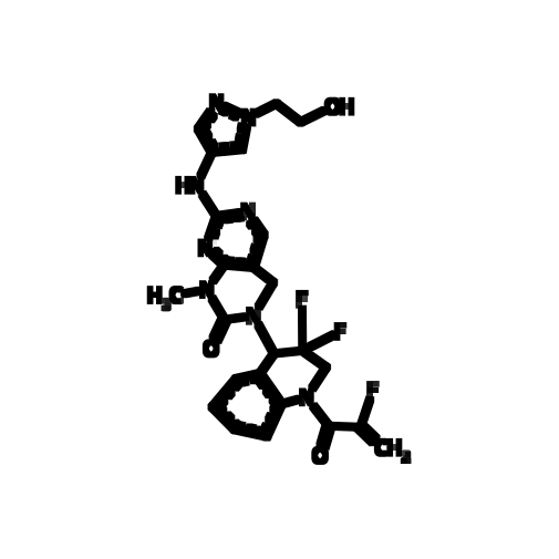 C=C(F)C(=O)N1CC(F)(F)C(N2Cc3cnc(Nc4cnn(CCO)c4)nc3N(C)C2=O)c2ccccc21